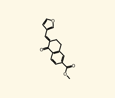 COC(=O)c1ccc2c(c1)CCC(=Cc1ccoc1)C2=O